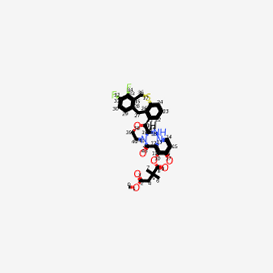 COC(=O)CC(C)(C)C(=O)Oc1c2n(ccc1=O)N[C@@H]1[C@H](c3cccc4c3Cc3ccc(F)c(F)c3CS4)OCCN1C2=O